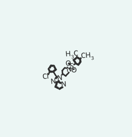 Cc1ccc(S(=O)(=O)N2CCC(n3c(-c4ccccc4Cl)nc4cccnc43)CC2)cc1C